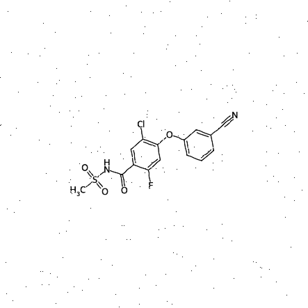 CS(=O)(=O)NC(=O)c1cc(Cl)c(Oc2cccc(C#N)c2)cc1F